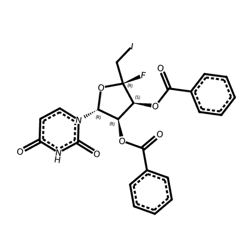 O=C(O[C@H]1[C@H](n2ccc(=O)[nH]c2=O)O[C@](F)(CI)[C@H]1OC(=O)c1ccccc1)c1ccccc1